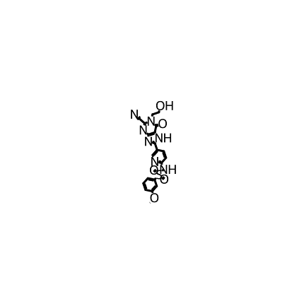 COc1cccc(S(=O)(=O)Nc2ccc(-c3nc4nc(C#N)n(CCO)c(=O)c4[nH]3)cn2)c1